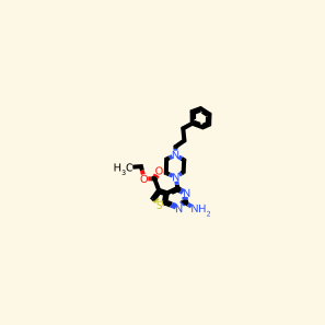 CCOC(=O)c1csc2nc(N)nc(N3CCN(CCCc4ccccc4)CC3)c12